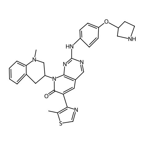 Cc1scnc1-c1cc2cnc(Nc3ccc(OC4CCNC4)cc3)nc2n(C2Cc3ccccc3N(C)C2)c1=O